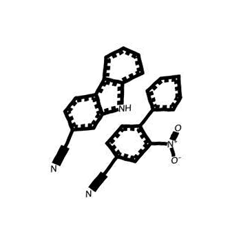 N#Cc1ccc(-c2ccccc2)c([N+](=O)[O-])c1.N#Cc1ccc2c(c1)[nH]c1ccccc12